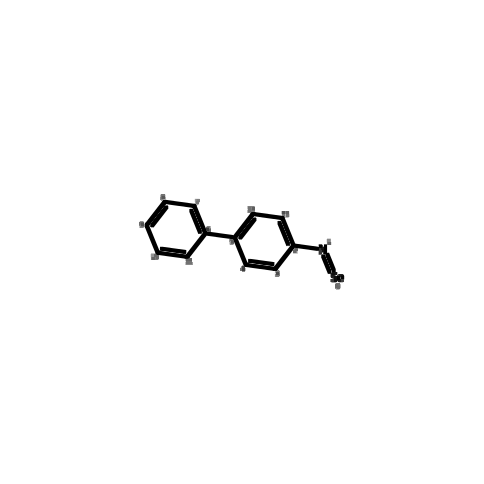 [Se]=Nc1ccc(-c2ccccc2)cc1